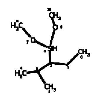 CCC(C(C)C)[SiH](OC)OC